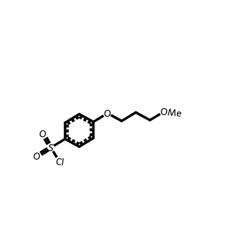 COCCCOc1ccc(S(=O)(=O)Cl)cc1